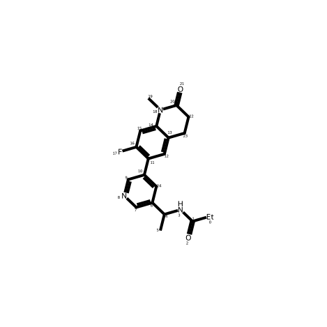 CCC(=O)NC(C)c1cncc(-c2cc3c(cc2F)N(C)C(=O)CC3)c1